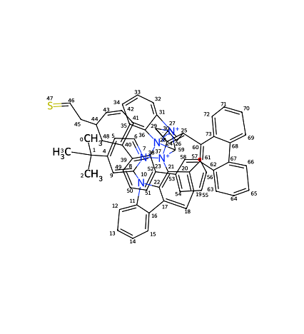 CC(C)(C)c1cc[n+]2c(c1)-n1c3ccccc3c3ccc4c(c31)[N+]21c2c(cccc2[N+]23c5ccccc5[N+]2(c2c(C5=CC=CC(CC=S)C5)cccc2-c2ccccc2)C13)-c1c-4c2ccccc2c2ccccc12